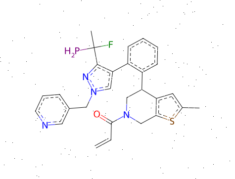 C=CC(=O)N1Cc2sc(C)cc2C(c2ccccc2-c2cn(Cc3cccnc3)nc2C(C)(F)P)C1